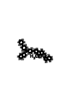 CC1(C)c2cc(Sc3cccc4ccccc34)ccc2-c2ccc(C3=CCC(N(C4=Cc5ccccc5CC4)C4C=CC(C5C=CC=CC5)=CC4)C=C3)cc21